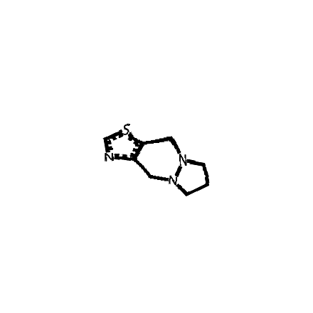 c1nc2c(s1)CN1CCCN1C2